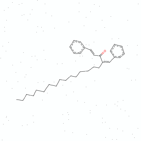 CCCCCCCCCCCCCCCCC(=Cc1ccccc1)C(=O)C=Cc1ccccc1